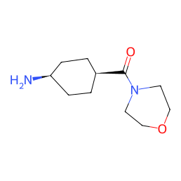 N[C@H]1CC[C@@H](C(=O)N2CCOCC2)CC1